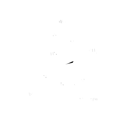 C=CC[C@H](NC(=O)OC(C)(C)C)c1nc(Br)cn1C(=O)OC(C)(C)C